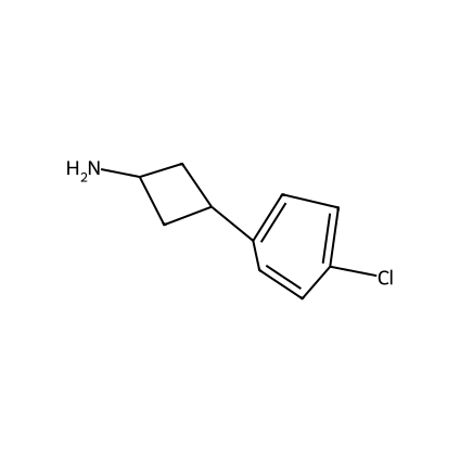 NC1CC(c2ccc(Cl)cc2)C1